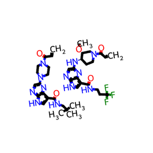 C=CC(=O)N1CCN(c2cnc3[nH]cc(C(=O)NCC(C)(C)C)c3n2)CC1.C=CC(=O)N1CC[C@H](Nc2cnc3[nH]cc(C(=O)NCCC(F)(F)F)c3n2)[C@H](OC)C1